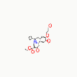 CCOC(=O)C1=CN2C(C3CCC3)CC3=CC(OCCCOC)=C(OC)CC3C2CC1=O